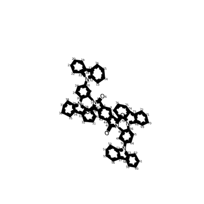 O=c1c2cc3c(=O)n(-c4cc(-n5c6ccccc6c6ccccc65)ccc4-n4c5ccccc5c5ccccc54)c(=O)c3cc2c(=O)n1-c1cc(-n2c3ccccc3c3ccccc32)ccc1-n1c2ccccc2c2ccccc21